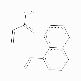 C=CC(=O)OC.C=Cc1cccc2ccccc12